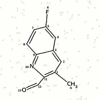 Cc1cc2cc(F)ccc2nc1C=O